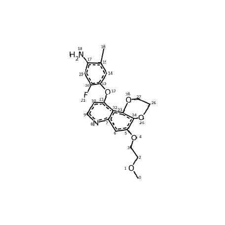 COCCOc1cc2nccc(Oc3cc(C)c(N)cc3F)c2c2c1OCCO2